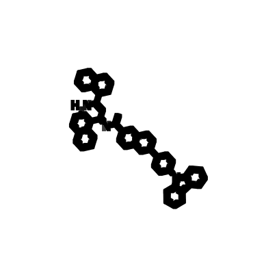 C=C(/N=C(\C=C(/N)c1cccc2ccccc12)c1cccc2ccccc12)c1ccc2cc(-c3ccc(-n4c5ccccc5c5ccccc54)cc3)ccc2c1